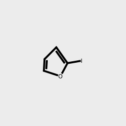 Ic1ccco1